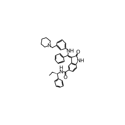 CC[C@@H](NC(=O)c1ccc2c(c1)/C(=C(/Nc1cccc(CN3CCCCC3)c1)c1ccccc1)C(=O)N2)c1ccccc1